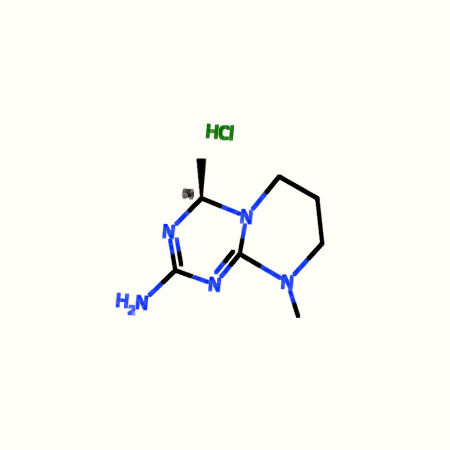 C[C@@H]1N=C(N)N=C2N(C)CCCN21.Cl